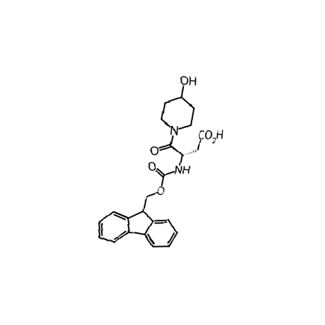 O=C(O)C[C@H](NC(=O)OCC1c2ccccc2-c2ccccc21)C(=O)N1CCC(O)CC1